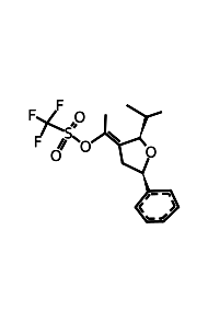 C/C(OS(=O)(=O)C(F)(F)F)=C1/C[C@H](c2ccccc2)O[C@@H]1C(C)C